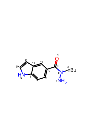 CCCCN(N)C(=O)c1ccc2[nH]ccc2c1